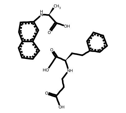 C[C@H](Nc1ccc2ccccc2c1)C(=O)O.O=C(O)CCN[C@H](CCc1ccccc1)C(=O)O